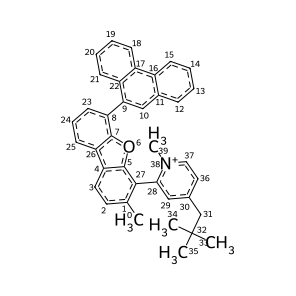 Cc1ccc2c(oc3c(-c4cc5ccccc5c5ccccc45)cccc32)c1-c1cc(CC(C)(C)C)cc[n+]1C